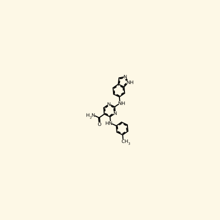 Cc1cccc(Nc2nc(Nc3ccc4cn[nH]c4c3)ncc2C(N)=O)c1